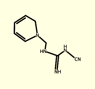 N#CNC(=N)NCN1C=CC=CC1